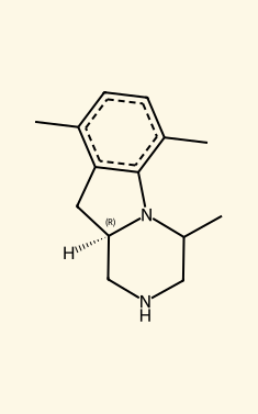 Cc1ccc(C)c2c1C[C@@H]1CNCC(C)N21